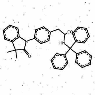 CC1(C)C(=O)N(c2ccc(CC(NC(c3ccccc3)(c3ccccc3)c3ccccc3)C(=O)O)cc2)c2ccccc21